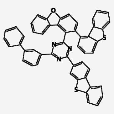 c1ccc(-c2cccc(-c3nc(-c4ccc5c(c4)sc4ccccc45)nc(-c4c(-c5cccc6sc7ccccc7c56)ccc5oc6ccccc6c45)n3)c2)cc1